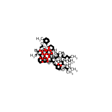 CCSSc1cccc(C)c1OC(=O)C[C@H](NC(=O)[C@H](Cc1ccccc1)NC(=O)[C@H](C(C)C)N(C)C(=O)[C@H](CC(C)C)N(C)C(=O)CNC(=O)[C@H](Cc1ccccc1)N(C)C(=O)[C@@H](NC(=O)C(CC(C)C)N(C)C(=O)[C@@H](NC(O)[C@H](C)NC)C(C)C)[C@@H](C)O)C(=O)N(C)C(Cc1ccccc1)C(=O)N[C@@H](C)C(=O)N1CCCCC1